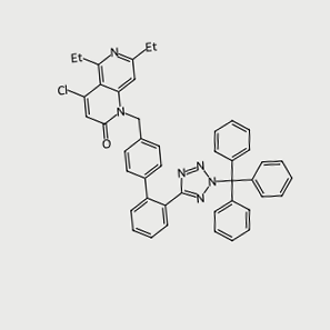 CCc1cc2c(c(Cl)cc(=O)n2Cc2ccc(-c3ccccc3-c3nnn(C(c4ccccc4)(c4ccccc4)c4ccccc4)n3)cc2)c(CC)n1